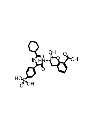 O=C(O)c1cccc2c1OB(O)[C@@H](NC(=O)C(NC(=O)C1CCCCC1)c1ccc(P(=O)(O)O)cc1)C2